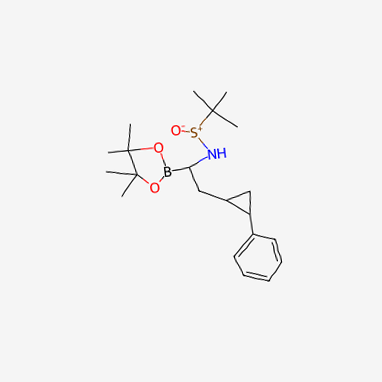 CC(C)(C)[S+]([O-])NC(CC1CC1c1ccccc1)B1OC(C)(C)C(C)(C)O1